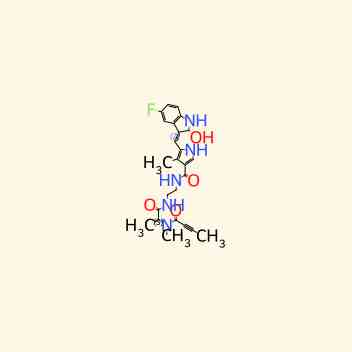 CC#CC(=O)N(C)[C@@H](C)C(=O)NCCNC(=O)c1c[nH]c(/C=C2/c3cc(F)ccc3NC2O)c1C